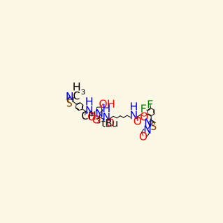 Cc1ncsc1-c1ccc(C(C)NC(=O)[C@@H]2C[C@@H](O)CN2C(=O)[C@@H](NC(=O)CCCCCCNC(=O)COc2c(-c3csc(N4CCOCC4)n3)ccc(F)c2F)C(C)(C)C)cc1